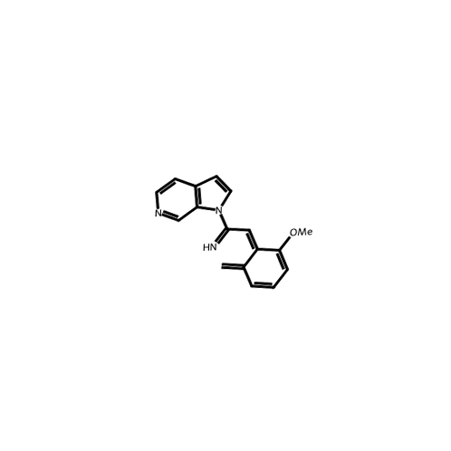 C=c1cccc(OC)/c1=C/C(=N)n1ccc2ccncc21